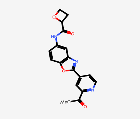 COC(=O)c1cc(-c2nc3cc(NC(=O)C4CCO4)ccc3o2)ccn1